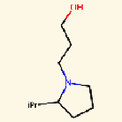 CC(C)C1CCCN1CCCO